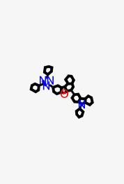 c1ccc(-c2nc(-c3ccccc3)nc(-c3ccc4oc5c(-c6ccc7c(c6)c6ccccc6n7-c6ccccc6)cc6ccccc6c5c4c3)n2)cc1